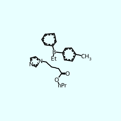 CCB(c1ccccc1)c1ccc(C)cc1.CCCOC(=O)CCCn1ccnc1